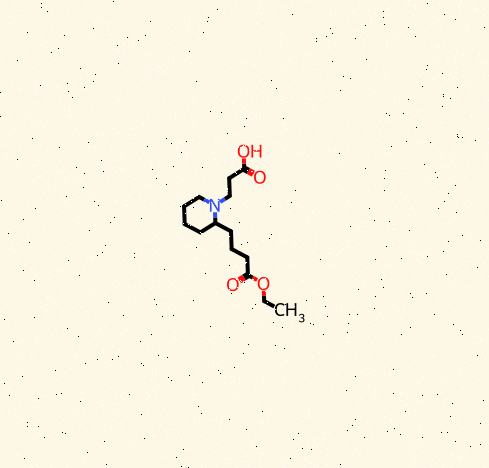 CCOC(=O)CCCC1CCCCN1CCC(=O)O